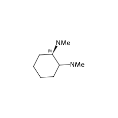 CNC1CCCC[C@H]1NC